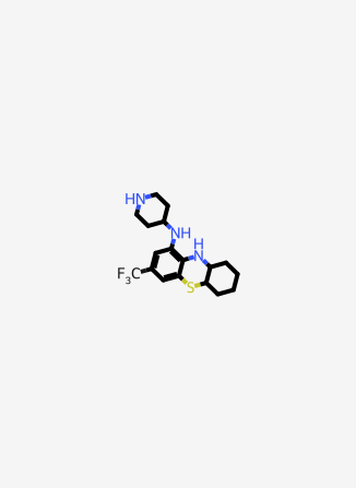 FC(F)(F)c1cc(NC2CCNCC2)c2c(c1)SC1CCCCC1N2